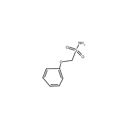 NS(=O)(=O)COc1ccccc1